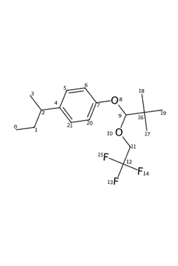 CCC(C)c1ccc(OC(OCC(F)(F)F)C(C)(C)C)cc1